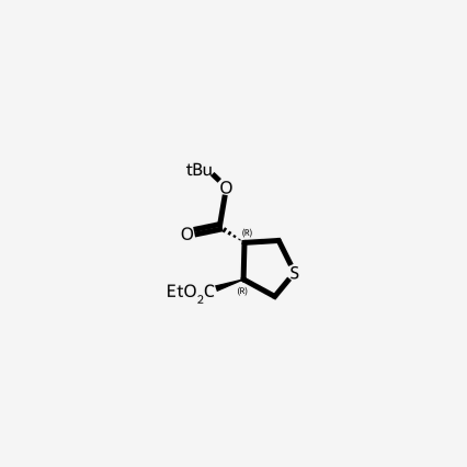 CCOC(=O)[C@@H]1CSC[C@H]1C(=O)OC(C)(C)C